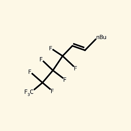 CCCCC=CC(F)(F)C(F)(F)C(F)(F)C(F)(F)F